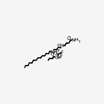 CCCC(=O)O.CCCCCCCCCCCCCCNCCCCNCCCC(N)=O.O=C(O)C(F)(F)F